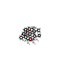 CC1(C)c2cc(-c3ccccc3)ccc2N(c2c(C#N)c(N3c4ccc(-c5ccccc5)cc4C(C)(C)c4ncccc43)c3c(c2N2c4ccc(-c5ccccc5)cc4C(C)(C)c4ncccc42)C(C)(C)C2(c4ccccc4-c4ccccc42)C3(C)C)c2cccnc21